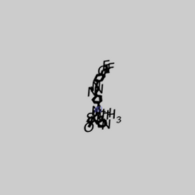 Cc1cnccc1N1C(=O)CSC1N/N=C/c1ccc(-c2ncn(-c3ccc(OC(F)(F)F)cc3)n2)cc1